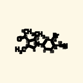 CC(=O)c1c(C)cn(-c2ccc(C#N)c(Br)c2)c1C